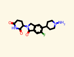 NN1CCC(c2cc3c(cc2F)C(=O)N(C2CCC(=O)NC2=O)C3)CC1